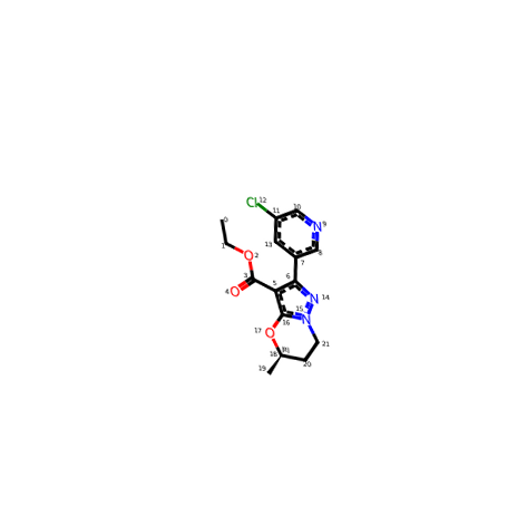 CCOC(=O)c1c(-c2cncc(Cl)c2)nn2c1O[C@H](C)CC2